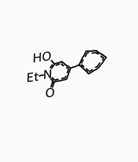 CCn1c(O)cc(-c2ccccc2)cc1=O